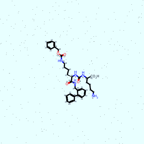 NCCCCC(NC(=O)N[C@H](CCCCNC(=O)OCc1ccccc1)C(=O)NCc1ccccc1-c1ccccc1)C(=O)O